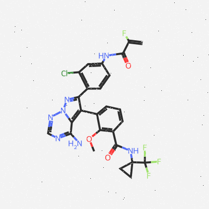 C=C(F)C(=O)Nc1ccc(-c2nn3ncnc(N)c3c2-c2cccc(C(=O)NC3(C(F)(F)F)CC3)c2OC)c(Cl)c1